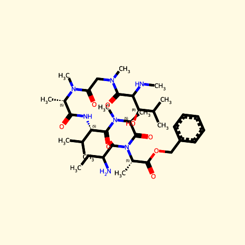 CCC(N)C(=O)N(C(=O)[C@H](C)N(C)C(=O)[C@@H](NC(=O)[C@H](C)N(C)C(=O)CN(C)C(=O)C(NC)[C@H](O)C(C)C)C(C)C)[C@@H](C)C(=O)OCc1ccccc1